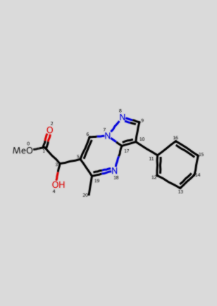 COC(=O)C(O)c1cn2ncc(-c3ccccc3)c2nc1C